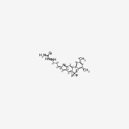 Cc1cc(C)cc(-c2cc3c(cc2C(F)(F)F)=CC(=CCCNNC(N)=O)N=3)c1